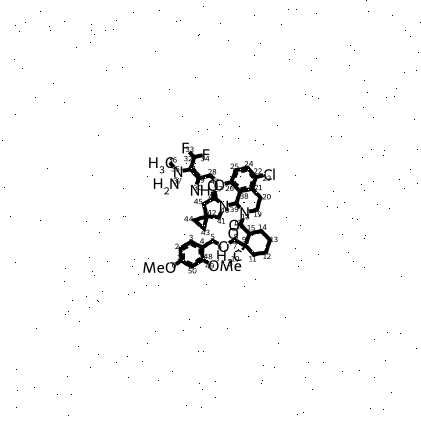 COc1ccc(COC(=O)[C@@]2(C)CCCCC2C(=O)N2CCc3c(Cl)ccc(OC/C(N)=C(\C(F)F)N(C)N)c3C2N2CC3(CC3)CC2=O)c(OC)c1